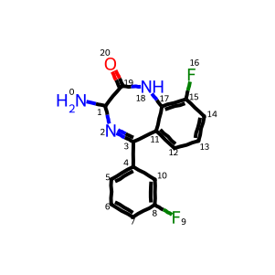 NC1N=C(c2cccc(F)c2)c2cccc(F)c2NC1=O